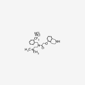 CN(C)CCN(Cc1ccccc1C(F)(F)F)C(=O)COc1cccc2c1CCNC2.Cl.Cl